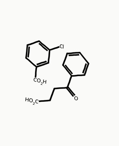 O=C(O)CCC(=O)c1ccccc1.O=C(O)c1cccc(Cl)c1